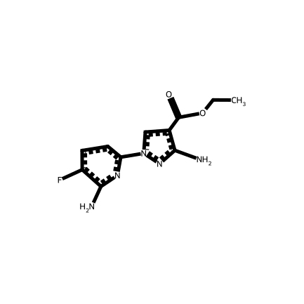 CCOC(=O)c1cn(-c2ccc(F)c(N)n2)nc1N